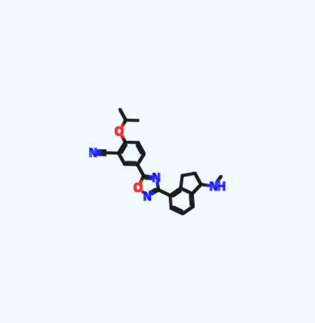 CNC1CCc2c(-c3noc(-c4ccc(OC(C)C)c(C#N)c4)n3)cccc21